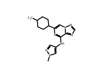 Cn1cc(Nc2nc(C3CCC(C(F)(F)F)CC3)cn3ncnc23)cn1